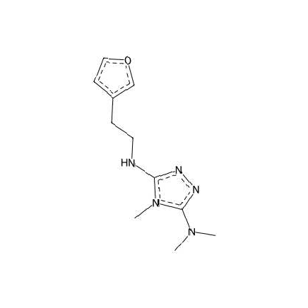 CN(C)c1nnc(NCCc2ccoc2)n1C